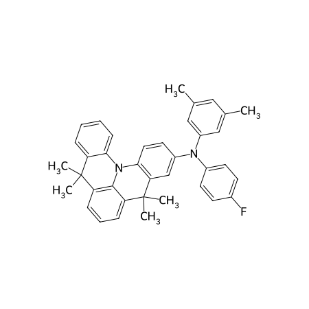 Cc1cc(C)cc(N(c2ccc(F)cc2)c2ccc3c(c2)C(C)(C)c2cccc4c2N3c2ccccc2C4(C)C)c1